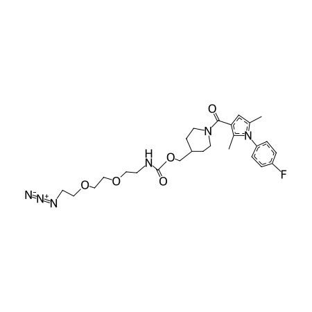 Cc1cc(C(=O)N2CCC(COC(=O)NCCOCCOCCN=[N+]=[N-])CC2)c(C)n1-c1ccc(F)cc1